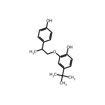 CC(COc1cc(C(C)(C)C)ccc1O)c1ccc(O)cc1